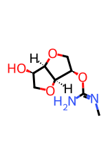 C/N=C(\N)O[C@@H]1CO[C@H]2[C@@H]1OC[C@H]2O